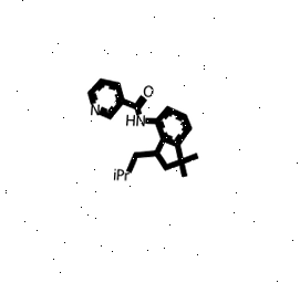 CC(C)CC1CC(C)(C)c2cccc(NC(=O)c3cccnc3)c21